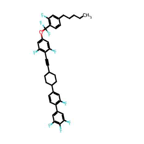 CCCCCc1ccc(C(F)(F)Oc2cc(F)c(C#CC3CCC(c4ccc(-c5cc(F)c(F)c(F)c5)c(F)c4)CC3)c(F)c2)c(F)c1